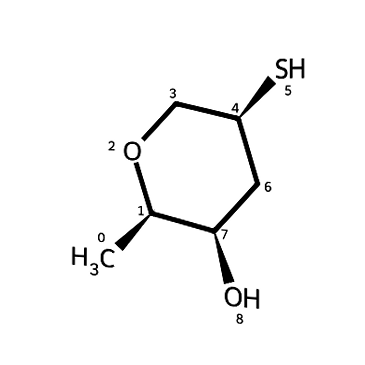 C[C@H]1OC[C@@H](S)C[C@H]1O